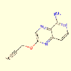 C#CCOc1cnc2c(N)nccc2n1